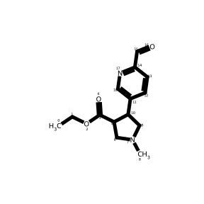 CCOC(=O)C1CN(C)CC1c1ccc(C=O)nc1